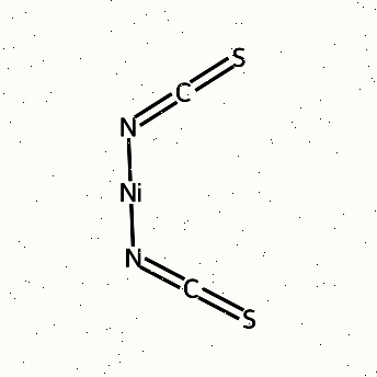 S=C=[N][Ni][N]=C=S